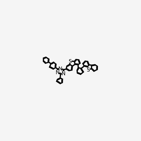 c1ccc(-c2ccc(-c3nc(-c4ccccc4)nc(-c4ccc5c(c4)sc4cccc(-c6ccccc6-c6cccc7c6sc6ccccc67)c45)n3)cc2)cc1